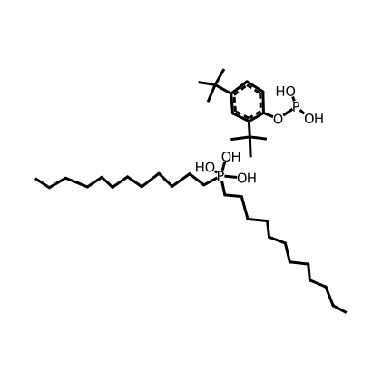 CC(C)(C)c1ccc(OP(O)O)c(C(C)(C)C)c1.CCCCCCCCCCCCP(O)(O)(O)CCCCCCCCCCCC